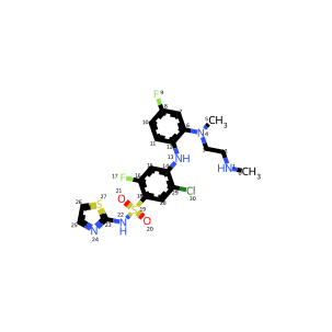 CNCCN(C)c1cc(F)ccc1Nc1cc(F)c(S(=O)(=O)Nc2nccs2)cc1Cl